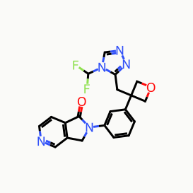 O=C1c2ccncc2CN1c1cccc(C2(Cc3nncn3C(F)F)COC2)c1